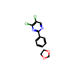 C1COCO1.Clc1cnc(-c2ccccc2)nc1Cl